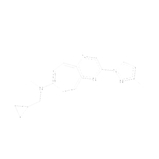 Cc1ccn(-c2cnc3c(n2)=CCC(N(C)CC2CC2)=CC=3)n1